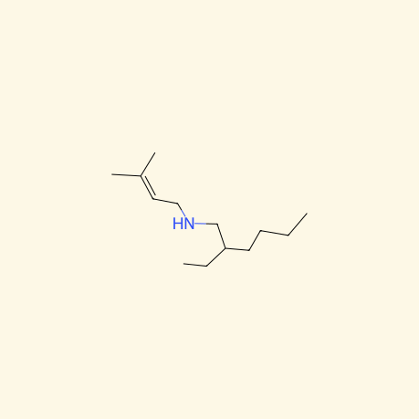 CCCCC(CC)CNCC=C(C)C